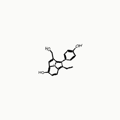 CCc1c(-c2ccc(O)cc2)c2c(CO)cc3c(O)ccc1n32